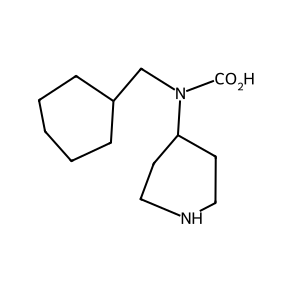 O=C(O)N(CC1CCCCC1)C1CCNCC1